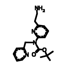 CC(C)(C)OC(=O)N(Cc1ccccn1)c1cccc(CCN)n1